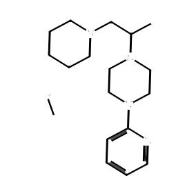 CBr.CC(CN1CCCCC1)N1CCN(c2ccccn2)CC1